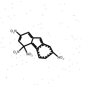 O=[N+]([O-])C1=CC([N+](=O)[O-])([N+](=O)[O-])C2=c3ccc([N+](=O)[O-])cc3=CC2=C1